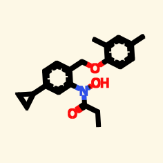 CCC(=O)N(O)c1cc(C2CC2)ccc1COc1ccc(C)cc1C